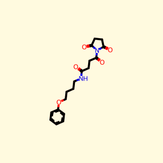 O=C(CCC(=O)N1C(=O)CCC1=O)NCCCCOc1ccccc1